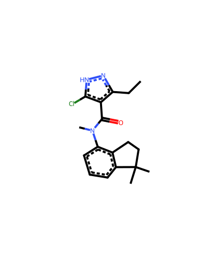 CCc1n[nH]c(Cl)c1C(=O)N(C)c1cccc2c1CCC2(C)C